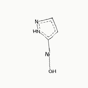 [OH][Ni][c]1ccn[nH]1